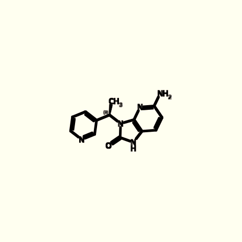 C[C@H](c1cccnc1)n1c(=O)[nH]c2ccc(N)nc21